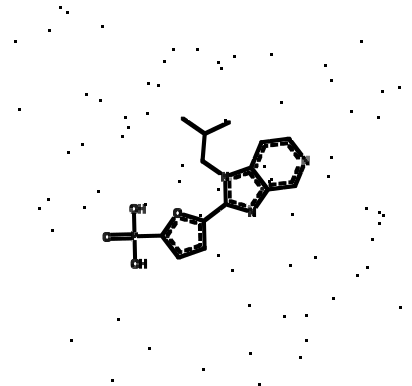 CC(C)Cn1c(-c2ccc(P(=O)(O)O)o2)nc2cnccc21